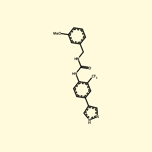 COc1cccc(CNC(=O)Nc2ccc(-c3cn[nH]c3)cc2C(F)(F)F)c1